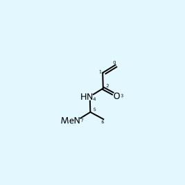 C=CC(=O)NC(C)NC